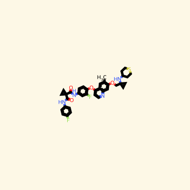 Cc1cc2c(Oc3ccc(NC(=O)C4(C(=O)Nc5ccc(F)cc5)CC4)cc3F)ccnc2cc1OCC1(NC2CCSCC2)CC1